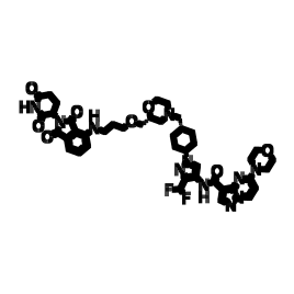 O=C1CCC(N2C(=O)c3cccc(NCCCOC[C@H]4CN(C[C@H]5CC[C@H](n6cc(NC(=O)c7cnn8ccc(N9CCOCC9)nc78)c(C(F)F)n6)CC5)CCO4)c3C2=O)C(=O)N1